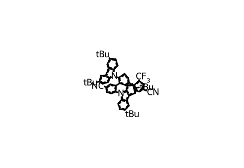 CC(C)(C)c1ccc2c(c1)c1cc(C(C)(C)C)ccc1n2-c1ccc(C#N)cc1-c1cc(-c2ccc(C#N)cc2C(F)(F)F)ccc1-n1c2ccc(C(C)(C)C)cc2c2cc(C(C)(C)C)ccc21